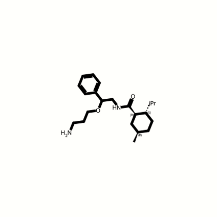 CC(C)[C@@H]1CC[C@@H](C)C[C@H]1C(=O)NCC(OCCCN)c1ccccc1